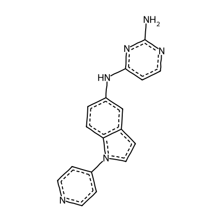 Nc1nccc(Nc2ccc3c(ccn3-c3ccncc3)c2)n1